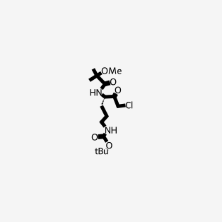 COC(C)(C)C(=O)N[C@@H](CCCNC(=O)OC(C)(C)C)C(=O)CCl